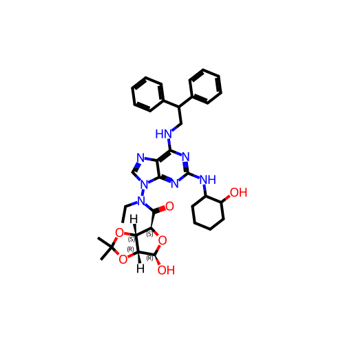 CCN(C(=O)[C@H]1O[C@@H](O)[C@@H]2OC(C)(C)O[C@@H]21)n1cnc2c(NCC(c3ccccc3)c3ccccc3)nc(NC3CCCCC3O)nc21